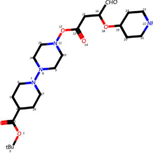 CC(C)(C)OC(=O)C1CCN(N2CCN(OC(=O)CC(C=O)OC3CCNCC3)CC2)CC1